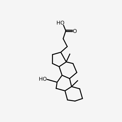 CC12CCC3C(C(O)CC4CCCCC43C)C1CCC2CCC(=O)O